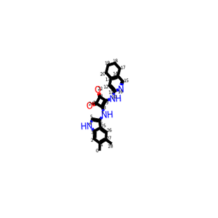 Cc1cc2[nH]cc(Nc3c(Nc4cc5c(cn4)CCCC5)c(=O)c3=O)c2cc1C